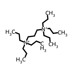 CCC[N+](CCC)(CCC)CCC[N+](CCC)(CCC)CCC